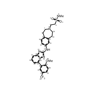 CNS(=O)(=O)CCN1CCc2ccc(Nc3nc4cccc(-c5cc(C(F)(F)F)ccc5OC)n4n3)cc2CC1